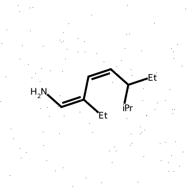 CCC(/C=C\C(CC)C(C)C)=C/N